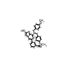 COc1ccc(CN(Cc2ccc(OC)cc2)c2nc(-c3cccc(C#N)c3)cn3nc(O)nc23)cc1